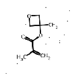 C=C(C)C(=O)OC1(C)COC1